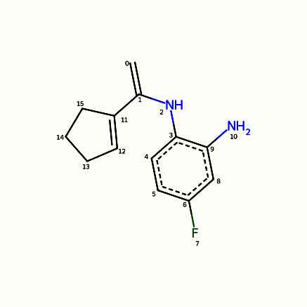 C=C(Nc1ccc(F)cc1N)C1=CCCC1